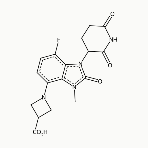 Cn1c(=O)n(C2CCC(=O)NC2=O)c2c(F)ccc(N3CC(C(=O)O)C3)c21